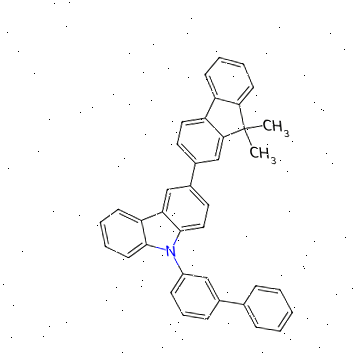 CC1(C)c2ccccc2-c2ccc(-c3ccc4c(c3)c3ccccc3n4-c3cccc(-c4ccccc4)c3)cc21